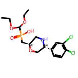 CCOC(OCC)P(=O)(O)C[C@H]1CN[C@H](c2ccc(Cl)c(Cl)c2)CO1